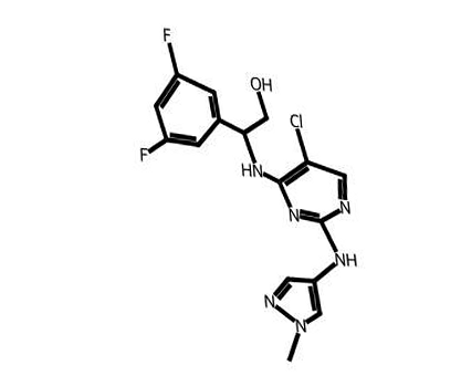 Cn1cc(Nc2ncc(Cl)c(NC(CO)c3cc(F)cc(F)c3)n2)cn1